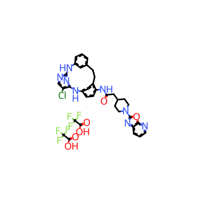 O=C(CC1CCN(c2nc3cccnc3o2)CC1)Nc1ccc2cc1CCc1cccc(c1)Nc1ncc(Cl)c(n1)N2.O=C(O)C(F)(F)F.O=C(O)C(F)(F)F